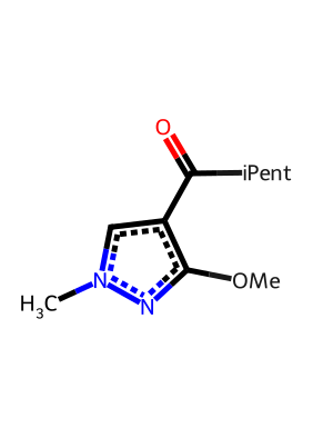 CCCC(C)C(=O)c1cn(C)nc1OC